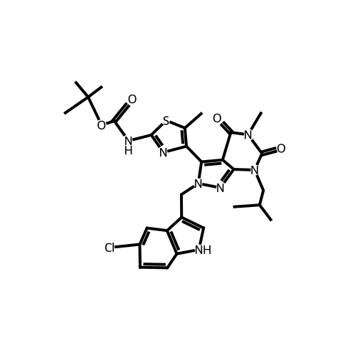 Cc1sc(NC(=O)OC(C)(C)C)nc1-c1c2c(=O)n(C)c(=O)n(CC(C)C)c2nn1Cc1c[nH]c2ccc(Cl)cc12